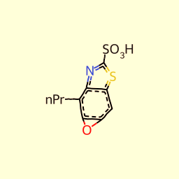 CCCc1c2c(cc3sc(S(=O)(=O)O)nc13)O2